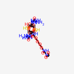 Nc1nc2c(ncn2[C@@H]2O[C@@H]3COP(=O)(S)O[C@@H]4[C@H](O)[C@H](n5cnc6c(=O)[nH]c(N)nc65)O[C@@H]4COP(=O)(S)O[C@@H]3C2NC(=O)CCOCCOCCOCCOCCNC(=O)CCN2C(=O)C=CC2=O)c(=O)[nH]1